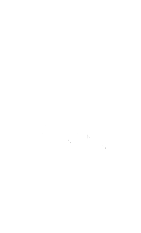 Cc1ccc(-c2cncn2-c2ccc(S(C)(=O)=O)cn2)cc1